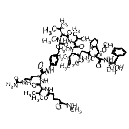 CC[C@H](C)[C@@H]([C@@H](CC(=O)N1CCC[C@H]1[C@H](OC)[C@@H](C)C(=O)N[C@H](C)[C@@H](O)c1ccccc1)OC)N(C)C(=O)[C@@H](NC(=O)[C@H](C(C)C)N(C)C(=O)OCc1ccc(NC(=O)[C@H](CCCNC(N)=O)NC(=O)[C@@H](NC(=O)CCCC(=O)NC)C(C)C)cc1)C(C)C